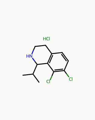 CC(C)C1NCCc2ccc(Cl)c(Cl)c21.Cl